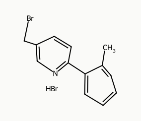 Br.Cc1ccccc1-c1ccc(CBr)cn1